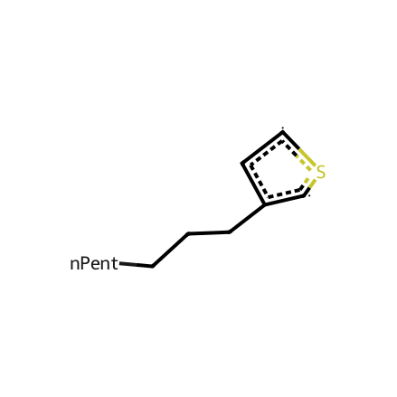 CCCCCCCCc1[c]s[c]c1